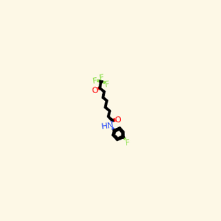 O=C(CCCCCCC(=O)C(F)(F)F)Nc1ccc(F)cc1